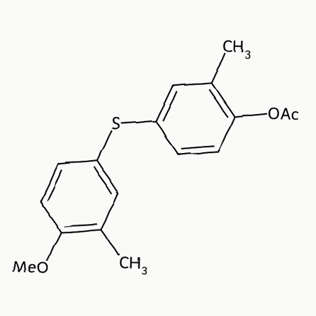 COc1ccc(Sc2ccc(OC(C)=O)c(C)c2)cc1C